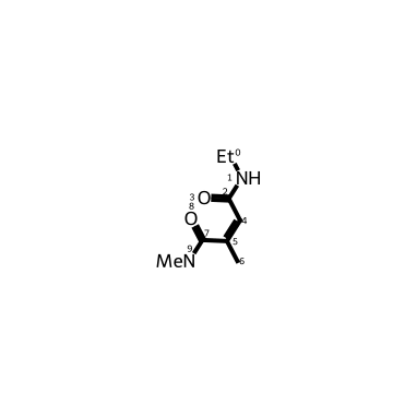 CCNC(=O)C=C(C)C(=O)NC